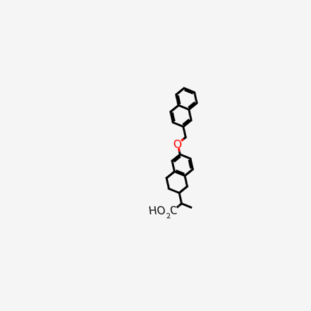 CC(C(=O)O)C1CCc2cc(OCc3ccc4ccccc4c3)ccc2C1